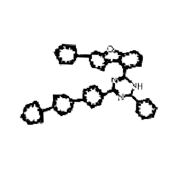 c1ccc(-c2ccc(-c3ccc(C4=NC(c5ccccc5)NC(c5cccc6oc7cc(-c8ccccc8)ccc7c56)=N4)cc3)cc2)cc1